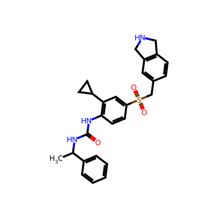 CC(NC(=O)Nc1ccc(S(=O)(=O)Cc2ccc3c(c2)CNC3)cc1C1CC1)c1ccccc1